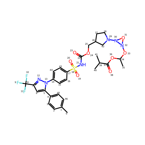 Cc1ccc(-c2cc(C(F)(F)F)nn2-c2ccc(S(=O)(=O)NC(=O)OCC3CCN(n4on4OC(C)OC(=O)C(C)C)C3)cc2)cc1